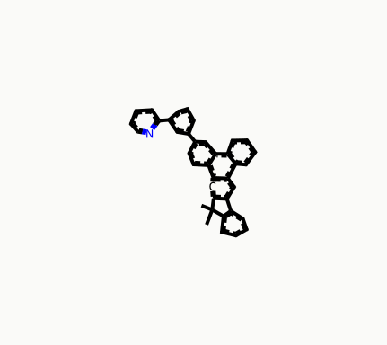 CC1(C)c2ccccc2-c2cc3c4ccccc4c4cc(-c5cccc(-c6ccccn6)c5)ccc4c3cc21